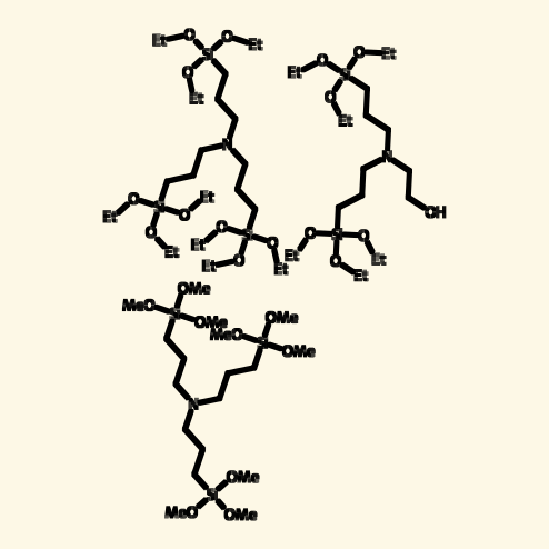 CCO[Si](CCCN(CCC[Si](OCC)(OCC)OCC)CCC[Si](OCC)(OCC)OCC)(OCC)OCC.CCO[Si](CCCN(CCO)CCC[Si](OCC)(OCC)OCC)(OCC)OCC.CO[Si](CCCN(CCC[Si](OC)(OC)OC)CCC[Si](OC)(OC)OC)(OC)OC